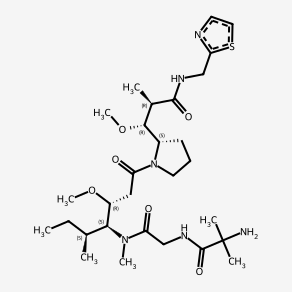 CC[C@H](C)[C@@H]([C@@H](CC(=O)N1CCC[C@H]1[C@H](OC)[C@@H](C)C(=O)NCc1nccs1)OC)N(C)C(=O)CNC(=O)C(C)(C)N